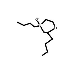 CCCCC1C[N+]([O-])(CCCC)CCO1